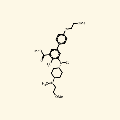 CCN(c1cc(-c2ccc(OCCOC)cc2)cc(C(=O)OC)c1C)[C@H]1CC[C@H](N(C)CCOC)CC1